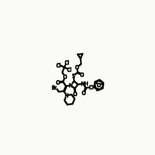 CC(=O)NC1C(=O)N(C(C(=O)OCC(Cl)(Cl)Cl)=C(CBr)N2CCCCC2)C1SC(=O)OCC1CC1.c1cc2cc(c1)O2